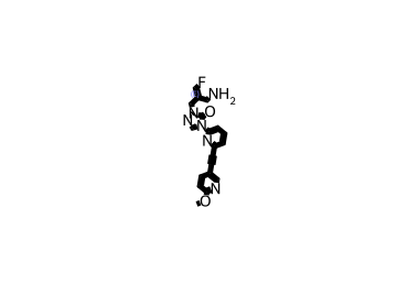 COc1ccc(C#Cc2cccc(-n3cnn(C/C(=C/F)CN)c3=O)n2)cn1